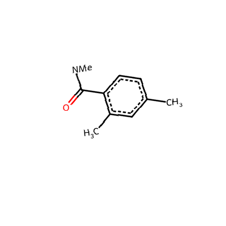 CNC(=O)c1ccc(C)cc1C